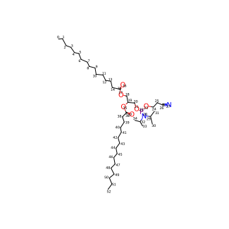 CCCCCCCCCCCCCCCC(=O)OCC(COP(OCCC#N)N(C(C)C)C(C)C)OC(=O)CCCCCCCCCCCCCCC